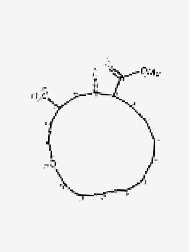 COC(=O)C1CCCCCCCCCOCCC(C)CC1=O